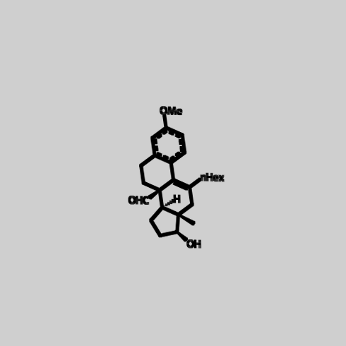 CCCCCCC1=C2c3ccc(OC)cc3CC[C@@]2(C=O)[C@@H]2CC[C@H](O)[C@@]2(C)C1